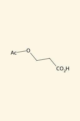 [CH2]C(=O)OCCC(=O)O